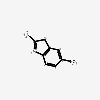 NC1=Nc2ccc([N+](=O)[O-])cc2C1